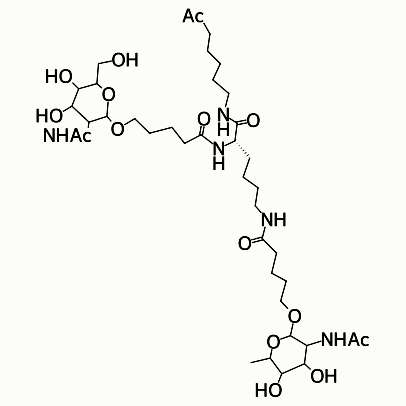 CC(=O)CCCCCNC(=O)[C@H](CCCCNC(=O)CCCCOC1OC(C)C(O)C(O)C1NC(C)=O)NC(=O)CCCCOC1OC(CO)C(O)C(O)C1NC(C)=O